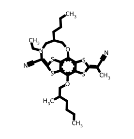 CCCCC(C)COc1c2c(c3c4c1S/C(=C(\C#N)N(CC)CC(CCCC)CO3)S4)S/C(=C(/C)C#N)S2